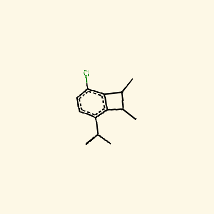 CC(C)c1ccc(Cl)c2c1C(C)C2C